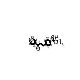 CN(C)c1ccc(C=CC(=O)c2ccncc2)cc1